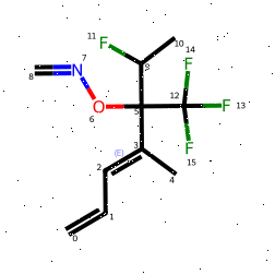 C=C/C=C(\C)C(ON=C)(C(C)F)C(F)(F)F